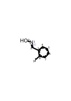 O/N=C/c1ccccc1I